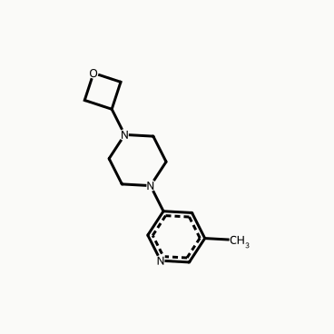 Cc1cncc(N2CCN(C3COC3)CC2)c1